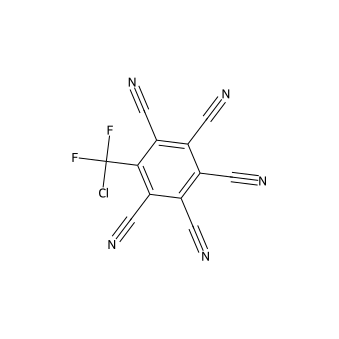 N#Cc1c(C#N)c(C#N)c(C(F)(F)Cl)c(C#N)c1C#N